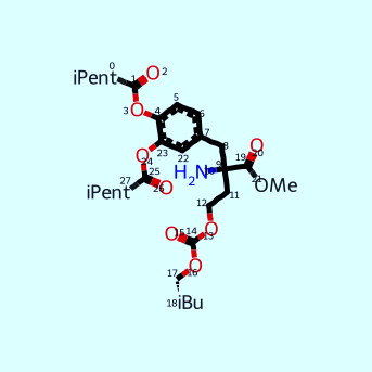 CCCC(C)C(=O)Oc1ccc(CC(N)(CCOC(=O)OC[C@@H](C)CC)C(=O)OC)cc1OC(=O)C(C)CCC